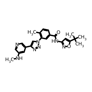 CNc1cncc(-c2cn(-c3cc(C(=O)Nc4cc(C(C)(C)C)on4)ccc3C)nn2)c1